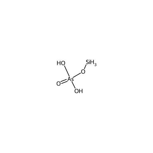 O=[As](O)(O)O[SiH3]